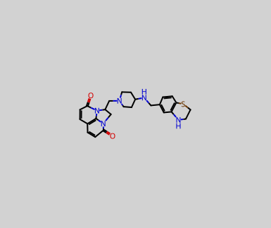 O=c1ccc2ccc(=O)n3c2n1CC3CN1CCC(NCc2ccc3c(c2)NCCS3)CC1